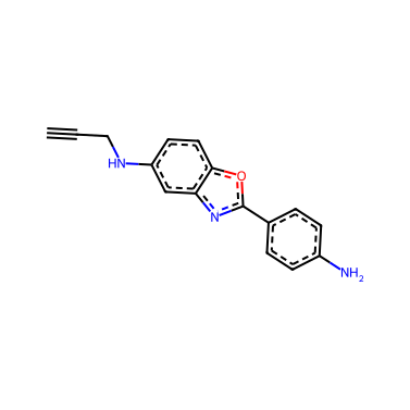 C#CCNc1ccc2oc(-c3ccc(N)cc3)nc2c1